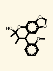 COc1ccccc1C1c2cc3c(cc2OC(C)(O)C1C)OCO3